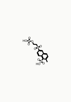 Cc1ccc2cc(S(=O)(=O)CCOS(=O)(=O)O)ccc2c1S(=O)(=O)O